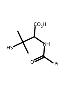 CC(C)C(=O)NC(C(=O)O)C(C)(C)S